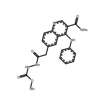 CNC(=O)c1cnc2ccc(CC(=O)NNC(=O)OC(C)(C)C)cc2c1Nc1ccccc1